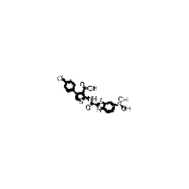 O=C(Nc1scc(-c2ccc(Cl)cc2)c1C(=O)O)c1nc2ccc(N(O)O)cc2s1